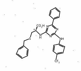 O=C(O)[C@H](CSCc1ccccc1)Nc1nc(Nc2ccc(C(F)(F)F)cc2)nc(-c2ccccc2)n1